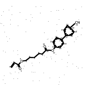 C=CC(=O)OCCCCCC(=O)Oc1ccc(-c2ccc(C#N)cc2)cc1